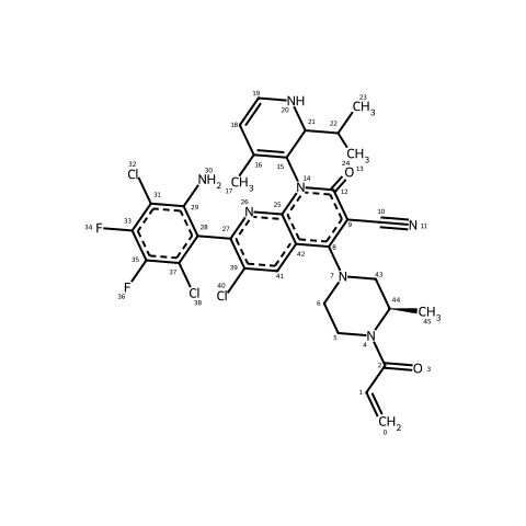 C=CC(=O)N1CCN(c2c(C#N)c(=O)n(C3=C(C)C=CNC3C(C)C)c3nc(-c4c(N)c(Cl)c(F)c(F)c4Cl)c(Cl)cc23)C[C@H]1C